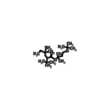 CCC(C)(N)CC(C(=O)OC(C)(C)CCOC(C)(C)C)C(C)(C)C